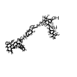 C#Cc1c(F)ccc2cc(O)cc(-c3ncc4c(N5CC6CCC(C5)N6)nc(OCCCN5CCN(C(=O)CCCCC(=O)NC(C(=O)N6C[C@H](O)C[C@H]6C(=O)NCc6ccc(-c7scnc7C)cc6)C(C)(C)C)CC5)nc4c3F)c12